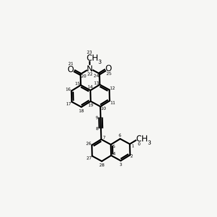 CC1C=CC2=C(C1)C(C#Cc1ccc3c4c(cccc14)C(=O)N(C)C3=O)=CCC2